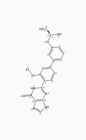 CCOc1cc(-c2cccc(O[C@H](O)C(=O)O)c2)ccc1-c1nc2[nH]cnc2c(=O)[nH]1